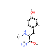 CN[C@@H](Cc1ccc(O)cc1)C(N)=O